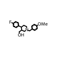 COc1ccc(CN2CCC(c3ccc(F)cc3)C(CO)C2)cc1